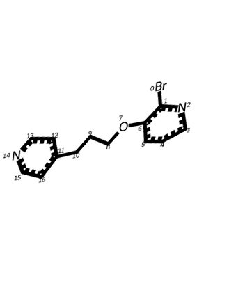 Brc1ncccc1OCCCc1ccncc1